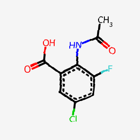 CC(=O)Nc1c(F)cc(Cl)cc1C(=O)O